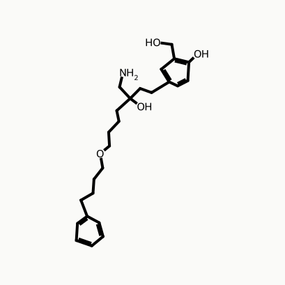 NCC(O)(CCCCOCCCCc1ccccc1)CCc1ccc(O)c(CO)c1